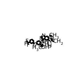 C=CC(=O)Nc1cc2c(Nc3ccc(Oc4cccc(C(F)(F)F)c4)cc3C(C)(C)O)ncnc2cc1OC